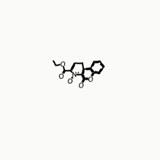 CCOC(=O)C1=CCc2c(c(=O)oc3ccccc23)[N+]1=O